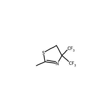 CC1=NC(C(F)(F)F)(C(F)(F)F)CS1